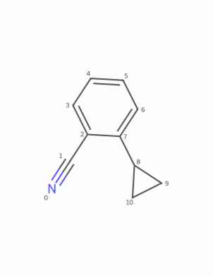 N#Cc1ccccc1C1CC1